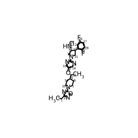 CCc1noc(N2CCC([C@H](C)Oc3cnc(N4C[C@H](NCl)[C@@H](c5cc(F)ccc5F)C4)nc3)CC2)n1